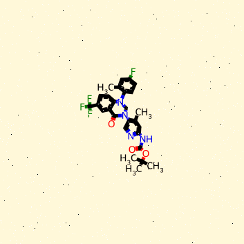 Cc1cc(NC(=O)OC(C)(C)C)ncc1N1CN(c2ccc(F)cc2C)c2ccc(C(F)(F)F)cc2C1=O